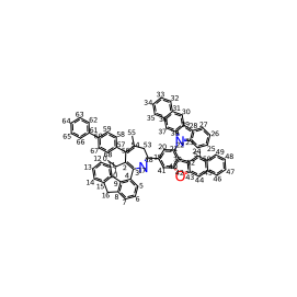 CCC1=C(c2cccc3c2-c2ccccc2C3)N=C(c2cc(-n3c4ccccc4c4cc5ccccc5cc43)c3c(c2)oc2cc4ccccc4cc23)CC(C)=C1c1ccc(-c2ccccc2)cc1